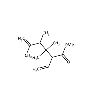 C=CC(C(=O)OC)C(C)(C)C(C)C(=C)C